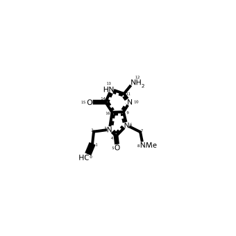 C#CCn1c(=O)n(CNC)c2nc(N)[nH]c(=O)c21